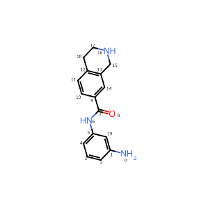 Nc1cccc(NC(=O)c2ccc3c(c2)CNCC3)c1